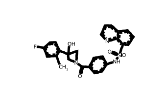 Cc1cc(F)ccc1C1(O)CN(C(=O)c2ccc(NS(=O)(=O)c3cccc4cccnc34)cc2)C1